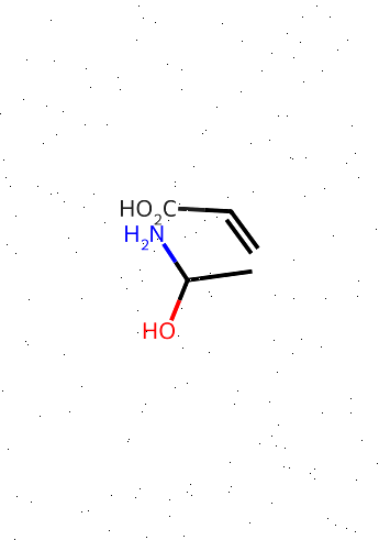 C=CC(=O)O.CC(N)O